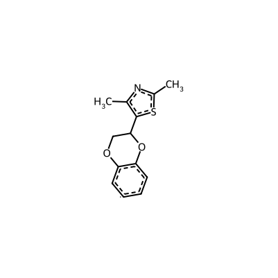 Cc1nc(C)c(C2COc3c[c]ccc3O2)s1